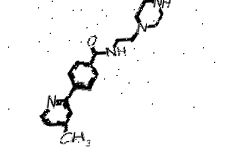 Cc1ccnc(-c2ccc(C(=O)NCCN3CCNCC3)cc2)c1